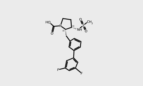 CS(=O)(=O)N[C@H]1CCN(C(=O)O)[C@H]1Cc1cccc(-c2cc(F)cc(F)c2)c1